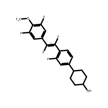 CCCC1CCC(c2ccc(/C(F)=C(\F)c3cc(F)c(OC(F)(F)F)c(F)c3)c(F)c2)CC1